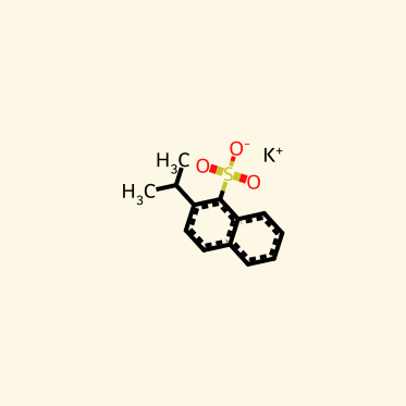 CC(C)c1ccc2ccccc2c1S(=O)(=O)[O-].[K+]